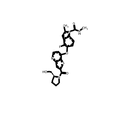 CNC(=O)n1c(C)cc2c(F)c(Oc3ccnc4cc(C(=O)N5CCC[C@H]5CO)sc34)ccc21